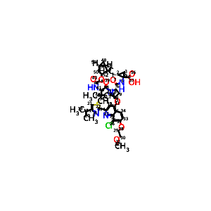 C=C[C@@H]1C[C@]1(NC(=O)[C@@H]1C[C@@H](Oc2cc(-c3nc(C(C)C)cs3)nc3c(Cl)c(OCCOC)ccc23)CN1C(=O)[C@@H](NC(=O)O[C@@H]1C[C@@H]2C[C@@H]2C1)C(C)(C)C)C(=O)O